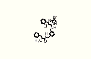 CC(Cc1ccccc1)C(=O)NCc1cccc(CNc2cc(-c3ccccc3Cl)nc3c(Br)cnn23)c1